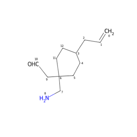 C=CCC1CCC(CN)(CC=O)CC1